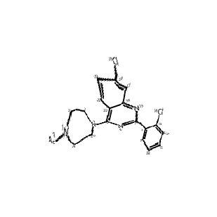 CC(=O)N1CCN(c2nc(-c3ccccc3Cl)nc3cc(Cl)ccc23)CC1